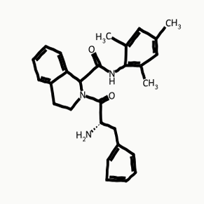 Cc1cc(C)c(NC(=O)C2c3ccccc3CCN2C(=O)[C@@H](N)Cc2ccccc2)c(C)c1